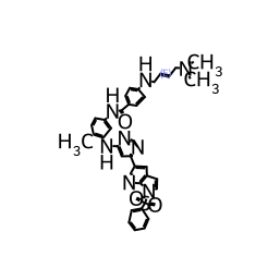 Cc1ccc(NC(=O)c2ccc(NC/C=C/CN(C)C)cc2)cc1Nc1cc(-c2cnc3c(ccn3S(=O)(=O)c3ccccc3)c2)ncn1